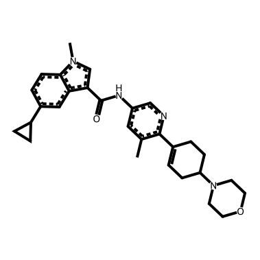 Cc1cc(NC(=O)c2cn(C)c3ccc(C4CC4)cc23)cnc1C1=CCC(N2CCOCC2)CC1